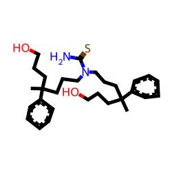 CC(CCCO)(CCCN(CCCC(C)(CCCO)c1ccccc1)C(N)=S)c1ccccc1